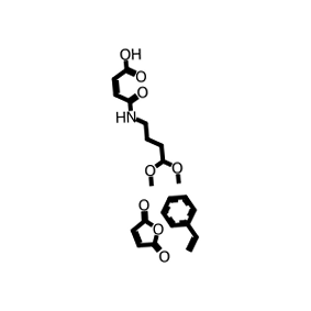 C=Cc1ccccc1.COC(CCCNC(=O)/C=C\C(=O)O)OC.O=C1C=CC(=O)O1